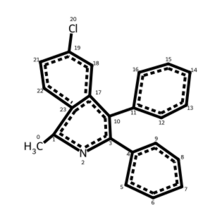 Cc1nc(-c2ccccc2)c(-c2ccccc2)c2cc(Cl)ccc12